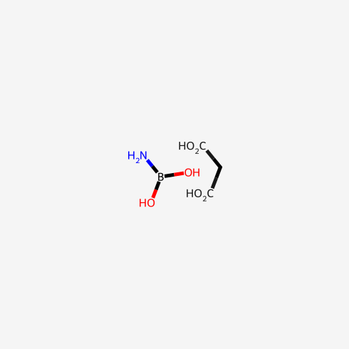 NB(O)O.O=C(O)CC(=O)O